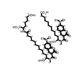 CCCCCCC(CCCCCCCCCCC(=O)O)N(C)C(=O)c1cc2ccc(N(CC)CC)cc2oc1=O.CCCCCCCCCCCCCCC(NC(=O)CCCCCCCCCCC(CCCCCC)N(C)C(=O)c1cc2ccc(N(CC)CC)cc2oc1=O)C(=O)O